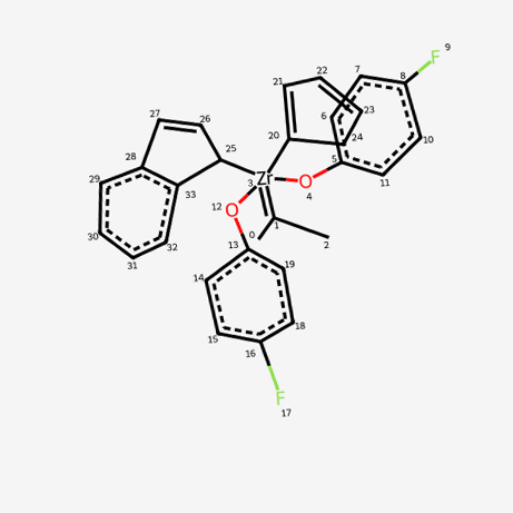 C[C](C)=[Zr]([O]c1ccc(F)cc1)([O]c1ccc(F)cc1)([C]1=CC=CC1)[CH]1C=Cc2ccccc21